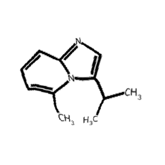 Cc1cccc2ncc(C(C)C)n12